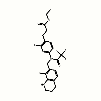 CCOC(=O)CCc1ccc(N(Cc2ccc3c(c2C)NCCC3)C(=O)C(F)(F)F)cc1F